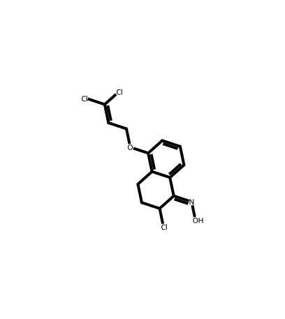 ON=C1c2cccc(OCC=C(Cl)Cl)c2CCC1Cl